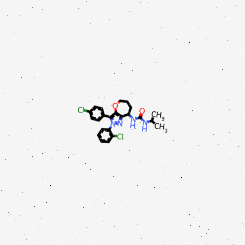 CC(C)NC(=O)NC1CCCOc2c1nn(-c1ccccc1Cl)c2-c1ccc(Cl)cc1